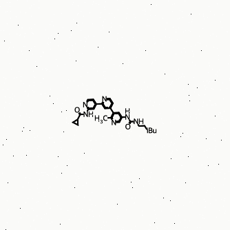 CCC(C)CCNC(=O)Nc1cnc(C)c(-c2ccnc(-c3ccnc(NC(=O)C4CC4)c3)c2)c1